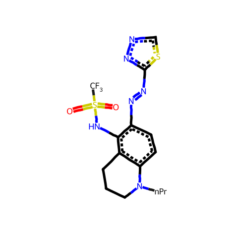 CCCN1CCCc2c1ccc(N=Nc1nncs1)c2NS(=O)(=O)C(F)(F)F